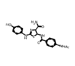 CC(=O)Nc1ccc(C(=O)NC2SC(Nc3ccc(O)cc3)=NC2C(N)=O)cc1